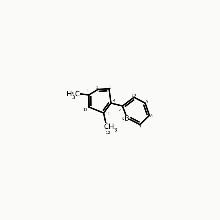 Cc1ccc(-c2bcccc2)c(C)c1